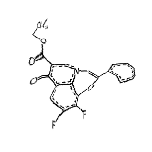 CCOC(=O)c1cn2c3c(c(F)c(F)cc3c1=O)OC(c1ccccc1)=C2